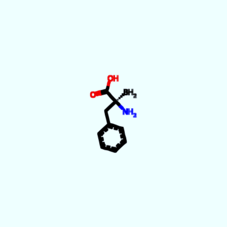 B[C@](N)(Cc1ccccc1)C(=O)O